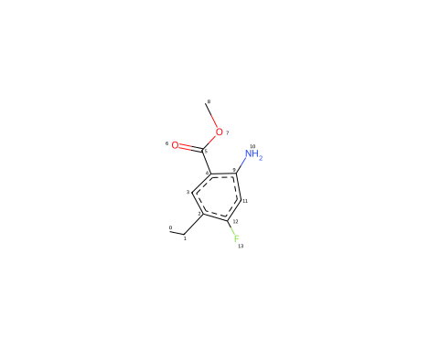 CCc1cc(C(=O)OC)c(N)cc1F